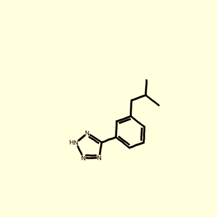 CC(C)Cc1cccc(-c2nn[nH]n2)c1